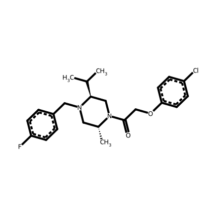 CC(C)[C@H]1CN(C(=O)COc2ccc(Cl)cc2)[C@H](C)CN1Cc1ccc(F)cc1